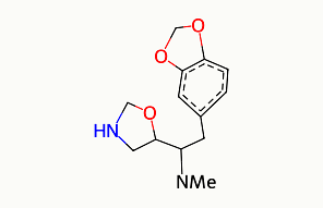 CNC(Cc1ccc2c(c1)OCO2)C1CNCO1